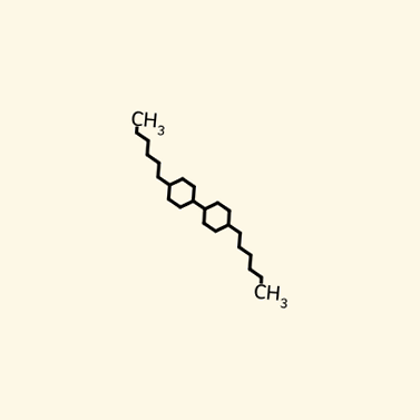 CCCCCCC1CCC(C2CCC(CCCCCC)CC2)CC1